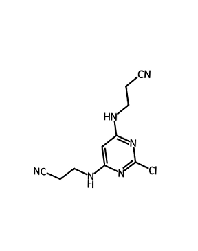 N#CCCNc1cc(NCCC#N)nc(Cl)n1